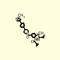 CN(C(=O)C1CC1)c1ccc(C(=O)N2CCC(c3ccc(-c4cnn(C)c4)cc3)CC2)cc1NC(=O)C1CC1